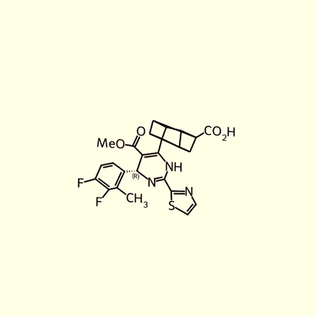 COC(=O)C1=C(C23C4C5C2C2C3C4C52C(=O)O)NC(c2nccs2)=N[C@@H]1c1ccc(F)c(F)c1C